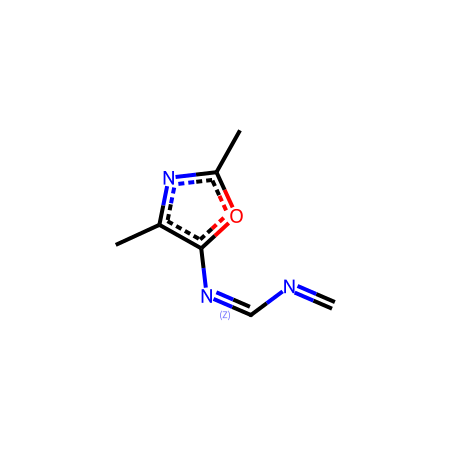 C=N/C=N\c1oc(C)nc1C